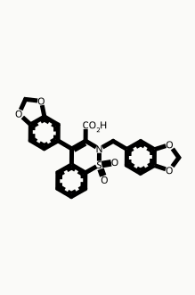 O=C(O)C1=C(c2ccc3c(c2)OCO3)c2ccccc2S(=O)(=O)N1Cc1ccc2c(c1)OCO2